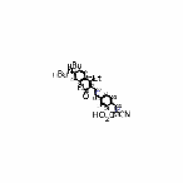 CCCCN(CCCC)c1ccc2c(CC)c(/C=C/c3ccc(/C=C(/C#N)C(=O)O)cc3)c(=O)oc2c1